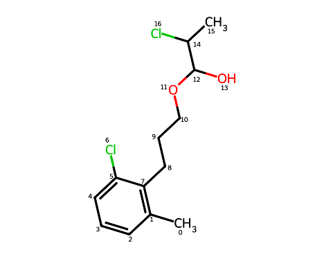 Cc1cccc(Cl)c1CCCOC(O)C(C)Cl